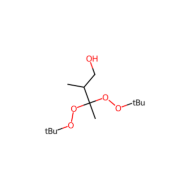 CC(CO)C(C)(OOC(C)(C)C)OOC(C)(C)C